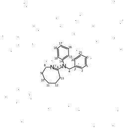 c1ccc(CN(C2=NCCCCCC2)c2ccccc2)cc1